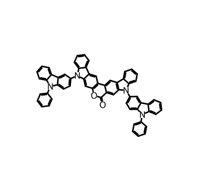 O=c1oc2cc3c(cc2c2cc4c5ccccc5n(-c5ccc6c(c5)c5ccccc5n6-c5ccccc5)c4cc12)c1ccccc1n3-c1ccc2c(c1)c1ccccc1n2-c1ccccc1